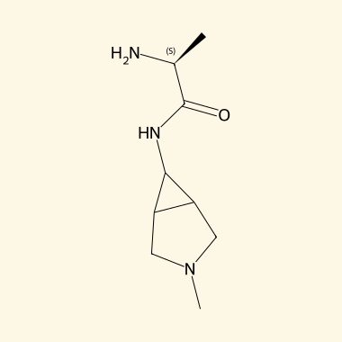 C[C@H](N)C(=O)NC1C2CN(C)CC21